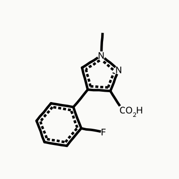 Cn1cc(-c2ccccc2F)c(C(=O)O)n1